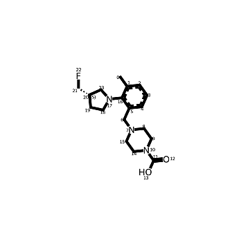 Cc1cccc(CN2CCN(C(=O)O)CC2)c1N1CC[C@H](CF)C1